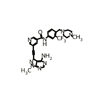 CN1CCN(Cc2ccc(NC(=O)c3cncc(C#Cc4nn(C)c5ncnc(N)c45)c3)cc2C(F)(F)F)CC1